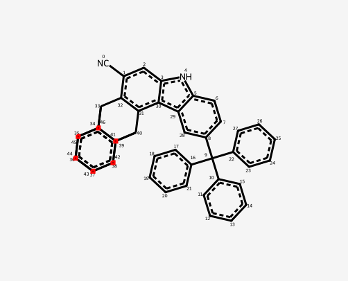 N#Cc1cc2[nH]c3ccc(C(c4ccccc4)(c4ccccc4)c4ccccc4)cc3c2c2c1C1c3ccccc3C2c2ccccc21